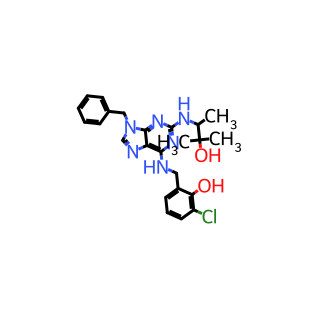 CC(Nc1nc(NCc2cccc(Cl)c2O)c2ncn(Cc3ccccc3)c2n1)C(C)(C)O